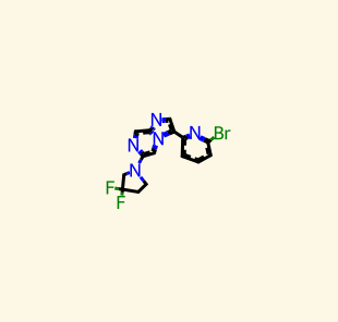 FC1(F)CCN(c2cn3c(-c4cccc(Br)n4)cnc3cn2)C1